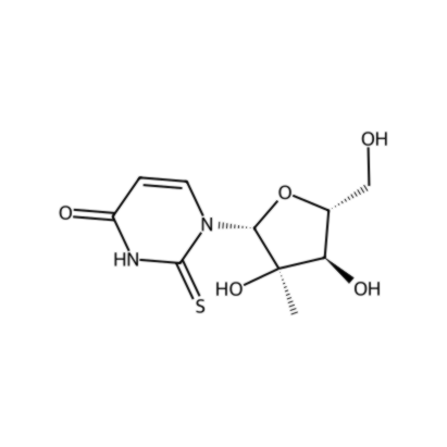 C[C@@]1(O)[C@H](O)[C@@H](CO)O[C@H]1n1ccc(=O)[nH]c1=S